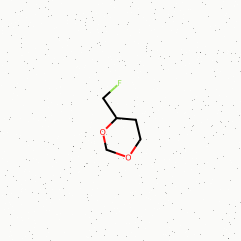 FCC1CCOCO1